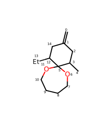 C=C1CC(C)C2(OCCCCO2)C(CC)C1